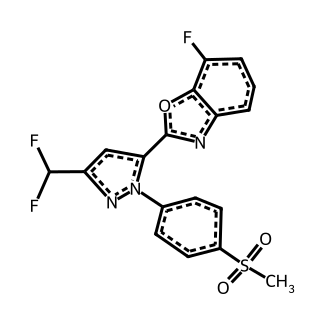 CS(=O)(=O)c1ccc(-n2nc(C(F)F)cc2-c2nc3cccc(F)c3o2)cc1